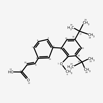 COc1c(-c2cccc(/C=C/C(=O)O)c2)cc(C(C)(C)C)cc1C(C)(C)C